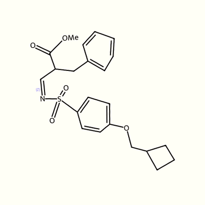 COC(=O)C(/C=N\S(=O)(=O)c1ccc(OCC2CCC2)cc1)Cc1ccccc1